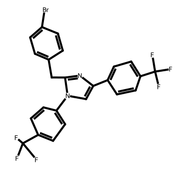 FC(F)(F)c1ccc(-c2cn(-c3ccc(C(F)(F)F)cc3)c(Cc3ccc(Br)cc3)n2)cc1